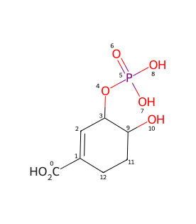 O=C(O)C1=CC(OP(=O)(O)O)C(O)CC1